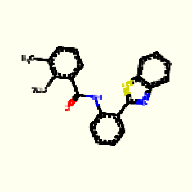 COc1c(C)cccc1C(=O)Nc1ccccc1-c1nc2ccccc2s1